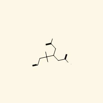 CC(C)(CC=O)C(CC(=O)O)CC(=O)O